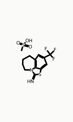 CS(=O)(=O)O.N=c1sc2cc(C(F)(F)F)cc3c2n1CCCC3